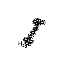 C=CC1=C(N(c2ccccc2)c2ccc(-c3ccc(-c4ccc(-c5ccc(N(c6ccccc6)c6cccc7ccccc67)cc5)cc4)cc3)cc2)CCC=C1C